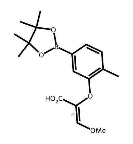 CO/C=C(\Oc1cc(B2OC(C)(C)C(C)(C)O2)ccc1C)C(=O)O